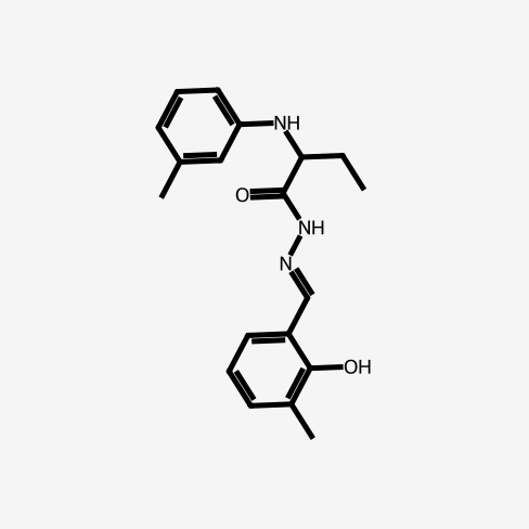 CCC(Nc1cccc(C)c1)C(=O)NN=Cc1cccc(C)c1O